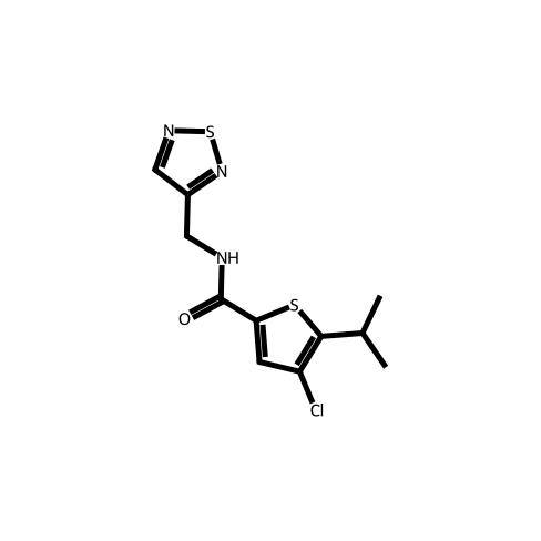 CC(C)c1sc(C(=O)NCc2cnsn2)cc1Cl